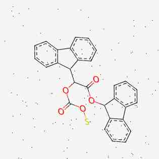 O=C(O[S])OC(C(=O)OC1c2ccccc2-c2ccccc21)C1c2ccccc2-c2ccccc21